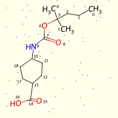 CCCC(C)(C)OC(=O)NC1CCC(C(=O)O)CC1